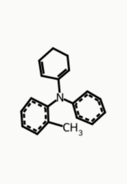 Cc1ccccc1N(C1=CCCC=C1)c1ccccc1